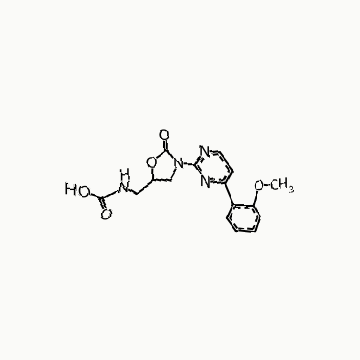 COc1ccccc1-c1ccnc(N2CC(CNC(=O)O)OC2=O)n1